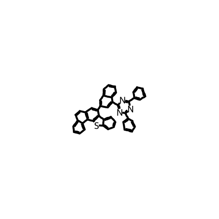 c1ccc(-c2nc(-c3ccccc3)nc(-c3cc(-c4cc5ccc6ccccc6c5c5sc6ccccc6c45)cc4ccccc34)n2)cc1